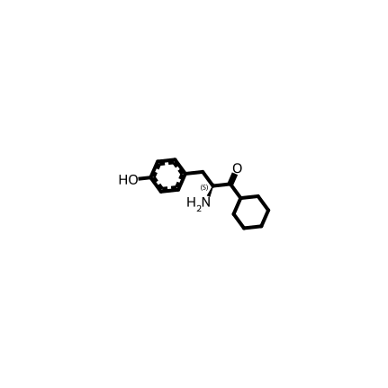 N[C@@H](Cc1ccc(O)cc1)C(=O)C1CCCCC1